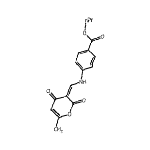 CCCOC(=O)c1ccc(NC=C2C(=O)C=C(C)OC2=O)cc1